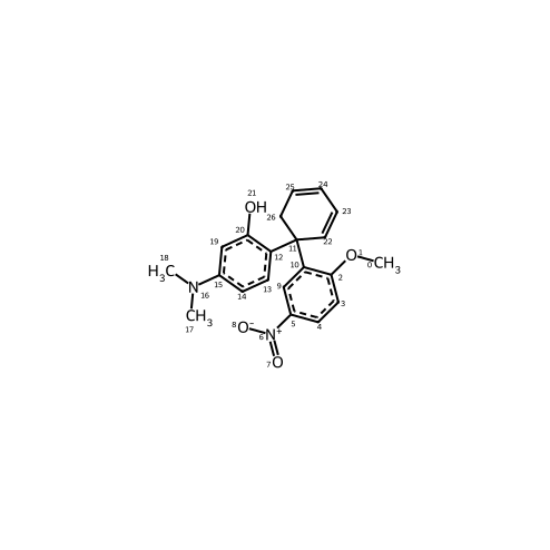 COc1ccc([N+](=O)[O-])cc1C1(c2ccc(N(C)C)cc2O)C=CC=CC1